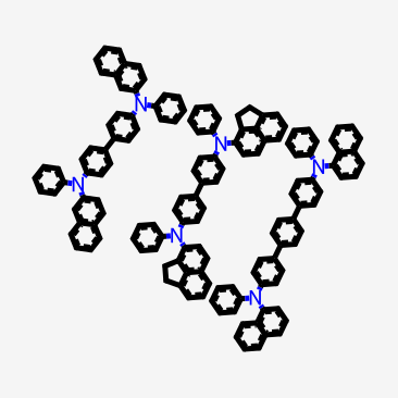 c1ccc(N(c2ccc(-c3ccc(-c4ccc(N(c5ccccc5)c5cccc6ccccc56)cc4)cc3)cc2)c2cccc3ccccc23)cc1.c1ccc(N(c2ccc(-c3ccc(N(c4ccccc4)c4ccc5cccc6c5c4CC6)cc3)cc2)c2ccc3cccc4c3c2CC4)cc1.c1ccc(N(c2ccc(-c3ccc(N(c4ccccc4)c4ccc5ccccc5c4)cc3)cc2)c2ccc3ccccc3c2)cc1